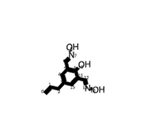 C=CCc1cc(C=NO)c(O)c(C=NO)c1